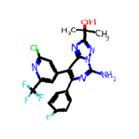 CC(C)(O)c1nc2c(-c3cc(Cl)nc(C(F)(F)F)c3)c(-c3ccc(F)cc3)nc(N)n2n1